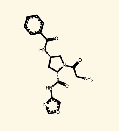 NCC(=O)N1C[C@H](NC(=O)c2ccccc2)C[C@H]1C(=O)Nc1cocn1